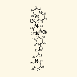 O=C(c1cccc2ccccc12)N1CCN(c2ccc(OCCCN3CCCCC3)cc2)C(=O)C1